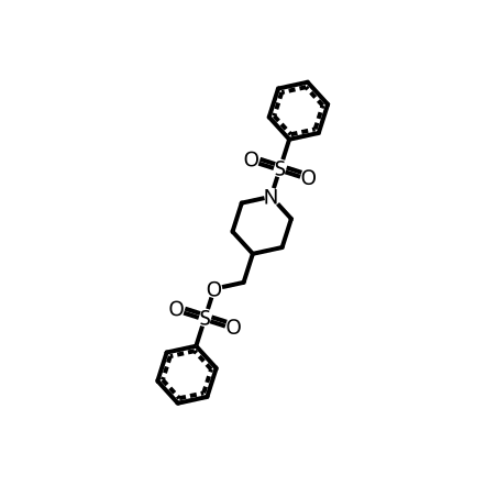 O=S(=O)(OCC1CCN(S(=O)(=O)c2ccccc2)CC1)c1ccccc1